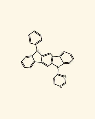 c1ccc(-n2c3ccccc3c3cc4c(cc32)c2ccccc2n4-c2ccncn2)cc1